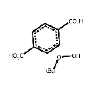 CC(C)(C)OO.O=C(O)c1ccc(C(=O)O)cc1